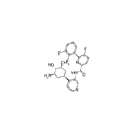 C[C@H]1C[C@@H](c2ccncc2NC(=O)c2ccc(F)c(-c3cccc(F)c3F)n2)C[C@@H](N)[C@@H]1O